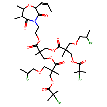 C/C=C\C1OC(C)[C@H](C)C(=O)N(CCOC(=O)C(C)(COC(=O)C(C)(COCC(C)Br)COC(=O)C(C)(C)Br)COC(=O)C(C)(COCC(C)Br)COC(=O)C(C)(C)Br)C1=O